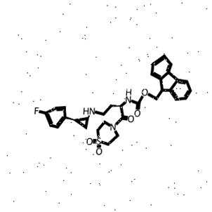 O=C(N[C@H](CCN[C@@H]1C[C@H]1c1ccc(F)cc1)C(=O)N1CCS(=O)(=O)CC1)OCC1c2ccccc2-c2ccccc21